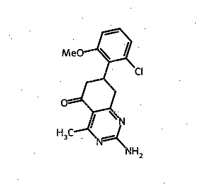 COc1cccc(Cl)c1C1CC(=O)c2c(C)nc(N)nc2C1